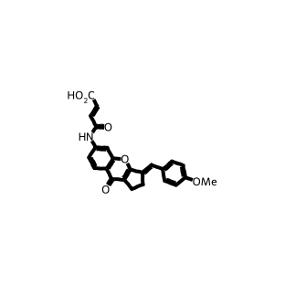 COc1ccc(/C=C2\CCc3c2oc2cc(NC(=O)/C=C/C(=O)O)ccc2c3=O)cc1